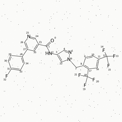 O=C(Nc1cnn(Cc2ccc(C(F)(F)F)cc2C(F)(F)F)c1)c1cncc(-c2ccc(F)cc2)c1